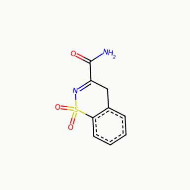 NC(=O)C1=NS(=O)(=O)c2ccccc2C1